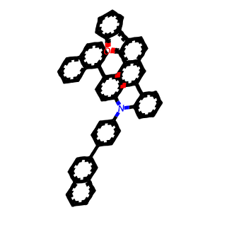 c1ccc(N(c2ccc(-c3ccc4ccccc4c3)cc2)c2ccc(-c3cccc4ccccc34)cc2)c(-c2ccc3c(ccc4c5ccccc5oc34)c2)c1